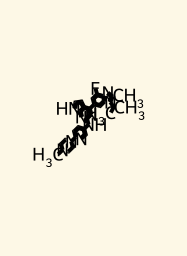 Cc1nc2c(F)cc(-c3nc(Nc4ccc(N5CCN(C)CC5)nc4)nc4[nH]ccc34)cc2n1C(C)C